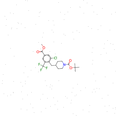 COC(=O)c1cc(Cl)c(CC2CCN(C(=O)OC(C)(C)C)CC2)c(C(F)(F)F)c1